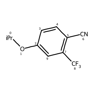 CC(C)Oc1ccc(C#N)c(C(F)(F)F)c1